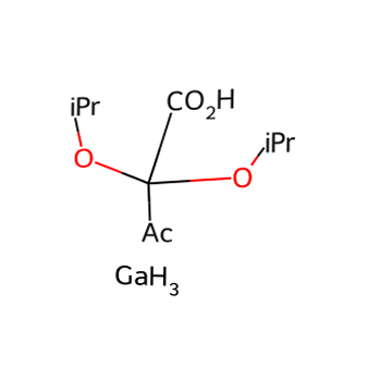 CC(=O)C(OC(C)C)(OC(C)C)C(=O)O.[GaH3]